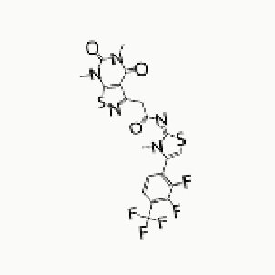 Cn1c(-c2ccc(C(F)(F)F)c(F)c2F)csc1=NC(=O)Cc1nsc2c1c(=O)n(C)c(=O)n2C